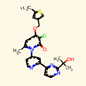 Cc1cc(COc2cc(C)n(-c3ccnc(-c4ccnc(C(C)(C)O)n4)c3)c(=O)c2Cl)cs1